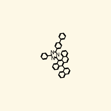 c1ccc(-c2ccc(-c3nc(-c4ccccc4)nc(-c4c5ccccc5c(-c5cccc6ccccc56)c5ccc6ccccc6c45)n3)cc2)cc1